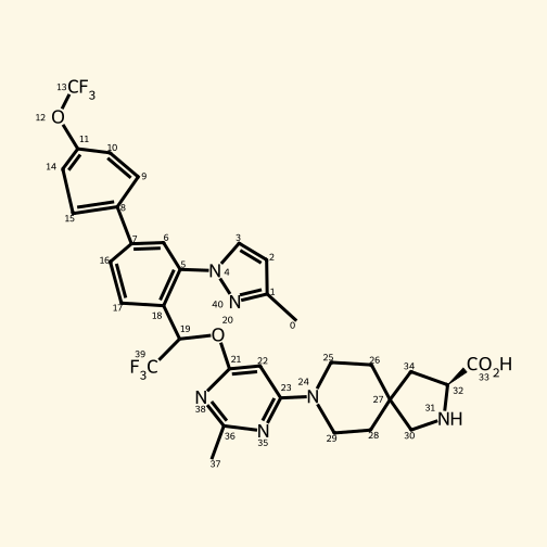 Cc1ccn(-c2cc(-c3ccc(OC(F)(F)F)cc3)ccc2C(Oc2cc(N3CCC4(CC3)CN[C@H](C(=O)O)C4)nc(C)n2)C(F)(F)F)n1